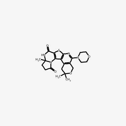 CC1(C)Cc2c(c(N3CCOCC3)nc3sc4c(c23)N2C(=O)CCC2(C)NC4=O)CO1